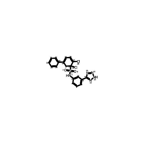 O=S(=O)(Nc1cccc(-c2nn[nH]n2)c1)C1(Cl)CC(c2ccccc2)=CC=C1Cl